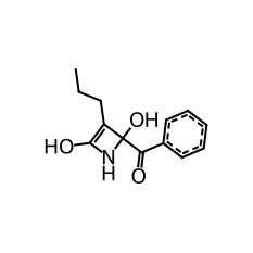 CCCC1=C(O)NC1(O)C(=O)c1ccccc1